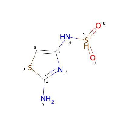 Nc1nc(N[SH](=O)=O)cs1